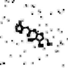 O=C(Cc1ncc[nH]1)OC1O[C@H](CO)[C@@H](O)[C@H]1O